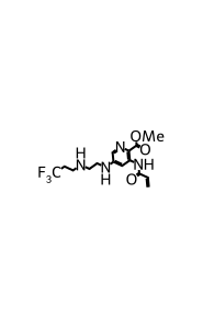 C=CC(=O)Nc1cc(NCCNCCC(F)(F)F)cnc1C(=O)OC